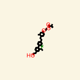 C=C(C)C(=O)OCCOC1=CC=C(CCc2ccc(-c3ccc(CCO)cc3CC)c(F)c2)C(C)C1